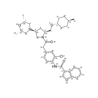 C[C@@H]1CN([C@H]2C[C@@H](CO[C@H]3CC[C@H](C)CC3)N(C(=O)Cc3ccc(NC(=O)c4coc5ccccc45)c(Cl)c3)C2)C[C@H](C)O1